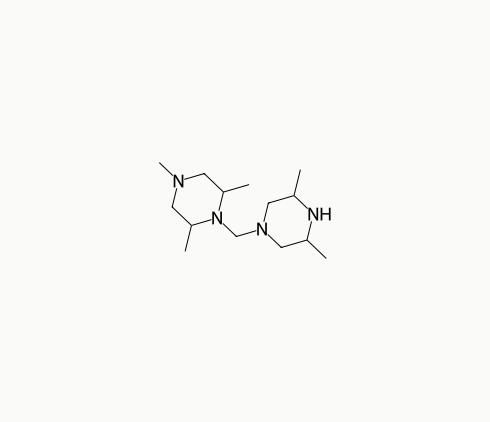 CC1CN(CN2C(C)CN(C)CC2C)CC(C)N1